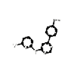 CC(=O)Nc1ccc(-c2cc(Nc3cccc(C(F)(F)F)n3)ncn2)cc1